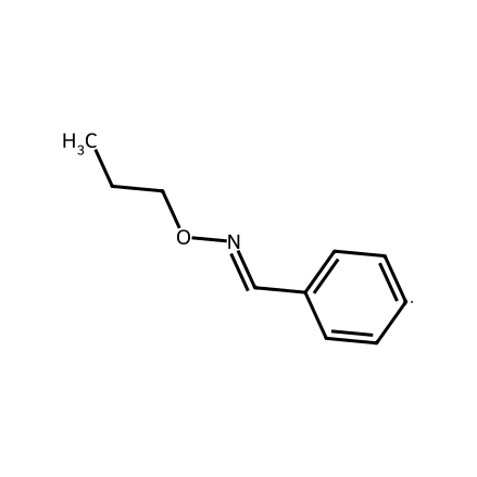 CCCON=Cc1cc[c]cc1